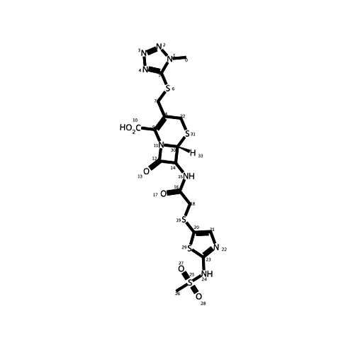 Cn1nnnc1SCC1=C(C(=O)O)N2C(=O)C(NC(=O)CSc3cnc(NS(C)(=O)=O)s3)[C@H]2SC1